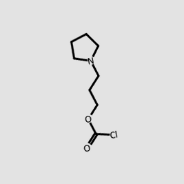 O=C(Cl)OCCCN1CCCC1